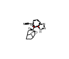 N#Cc1ccccc1S(=O)(=O)N1C2CCC1CN(C(=O)c1cnn[nH]1)C2